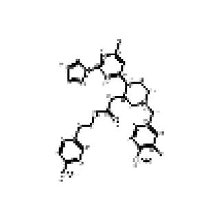 COc1ccc(CCNC(=O)CC2CN(Cc3ccc(OC)c(F)c3)CCN2c2cc(C)nc(-n3ccnc3)n2)cc1